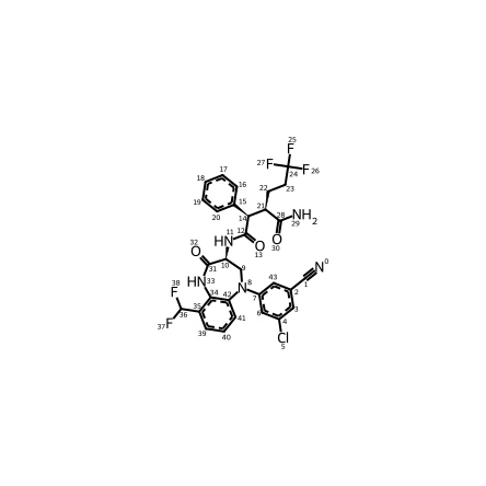 N#Cc1cc(Cl)cc(N2C[C@H](NC(=O)[C@@H](c3ccccc3)[C@@H](CCC(F)(F)F)C(N)=O)C(=O)Nc3c(C(F)F)cccc32)c1